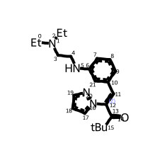 CCN(CC)CCNc1cccc(/C=C(/C(=O)C(C)(C)C)n2cccn2)c1